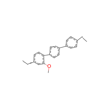 CCc1ccc(-c2ccc(-c3ccc(CC)cc3OC)cc2)cc1